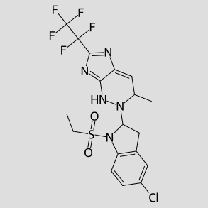 CCS(=O)(=O)N1c2ccc(Cl)cc2CC1N1NC2=NC(C(F)(F)C(F)(F)F)=NC2=CC1C